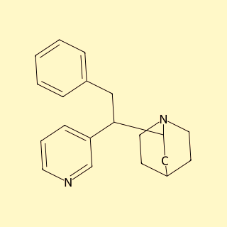 c1ccc(CC(c2cccnc2)C2CC3CCN2CC3)cc1